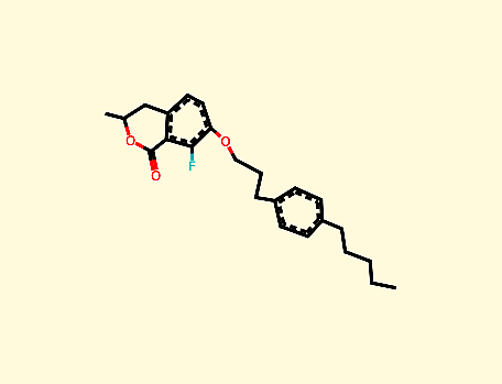 CCCCCc1ccc(CCCOc2ccc3c(c2F)C(=O)OC(C)C3)cc1